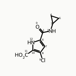 O=C(NC1CC1)c1cc(Cl)c(C(=O)O)[nH]1